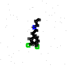 CCC[N]CCc1ccc(Cl)c(Cl)c1